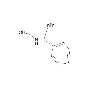 CCCC(N[C]=O)c1ccccc1